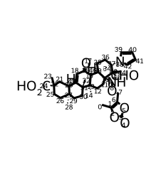 Cc1oc(=O)oc1CON[C@@]12CC[C@]3(C)[C@H](C(=O)C=C4[C@@H]5C[C@@](C)(C(=O)O)CC[C@]5(C)CC[C@]43C)[C@@]1(C)CC[C@H](n1cccc1)[C@@]2(C)C=O